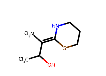 O=[N+]([O-])C(=C1NCCCS1)C(O)C(Cl)(Cl)Cl